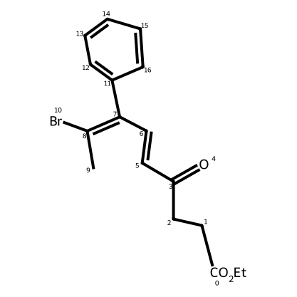 CCOC(=O)CCC(=O)/C=C/C(=C(\C)Br)c1ccccc1